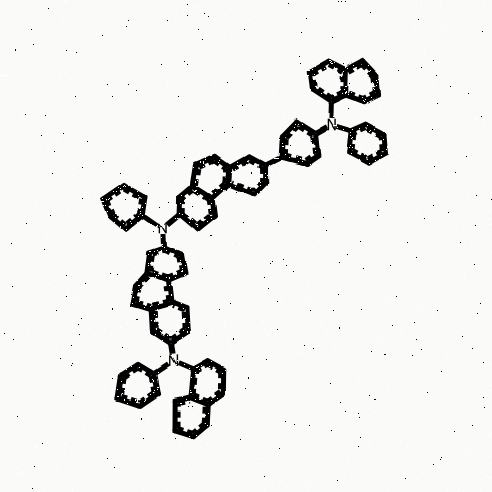 c1ccc(N(c2ccc3c(ccc4cc(-c5ccc(N(c6ccccc6)c6cccc7ccccc67)cc5)ccc43)c2)c2ccc3c(ccc4cc(N(c5ccccc5)c5cccc6ccccc56)ccc43)c2)cc1